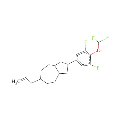 C=CCC1CCC2CC(c3cc(F)c(OC(F)F)c(F)c3)CC2CC1